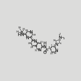 CN(C)C1CN(c2cc(C(=O)Nc3cc4nc(-c5cncc(NC(C)(C)C)n5)ccc4cn3)ccn2)C1